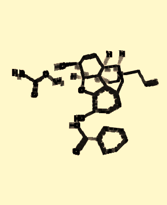 C=CCN1CC[C@]23c4c5ccc(O)c4O[C@H]2[C@@H](O)C=C[C@H]3[C@H]1C5.NOC(N)=O.O=C(O)c1ccccc1